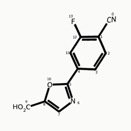 N#Cc1ccc(-c2ncc(C(=O)O)o2)cc1F